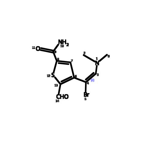 CN(C)/C=C(/Br)c1cc(C(N)=O)sc1C=O